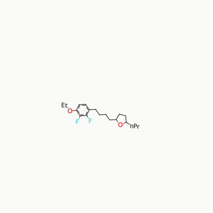 CCCC1CCC(CCCCc2ccc(OCC)c(F)c2F)O1